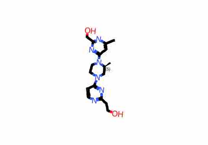 Cc1cc(N2CCN(c3ccnc(CCO)n3)C[C@@H]2C)nc(CO)n1